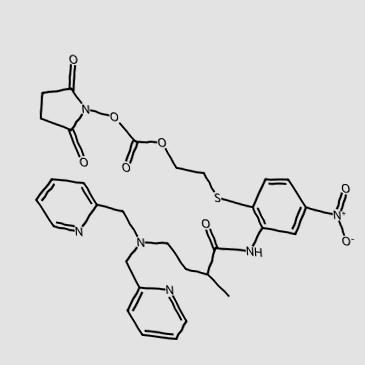 CC(CCN(Cc1ccccn1)Cc1ccccn1)C(=O)Nc1cc([N+](=O)[O-])ccc1SCCOC(=O)ON1C(=O)CCC1=O